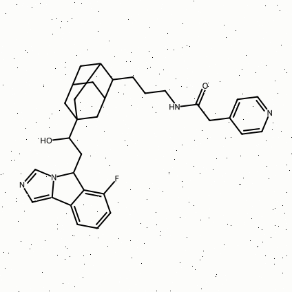 O=C(Cc1ccncc1)NCCCC1C2CC3CC1CC(C(O)CC1c4c(F)cccc4-c4cncn41)(C3)C2